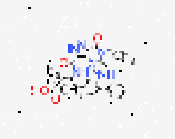 CCN(C(=O)c1cc(C(=O)NC(Cc2ccc(-c3ccccc3)cc2)CC(C)(C)C(=O)O)[nH]n1)c1c[nH]cn1